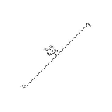 CC(=O)O.CCCCCCCCCCCCCCCCCCN(CCCCCCCCCCCCCCCCCC)C(=N)N